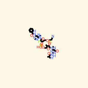 CC(C)C(=O)Nc1nc2c(ncn2C2OC3COP(O)(=S)OC4C(COP(=S)(CCC#N)OC2C3C)OC(n2cnc3c(NC(=O)c5ccccc5)ncnc32)C4F)c(=O)[nH]1